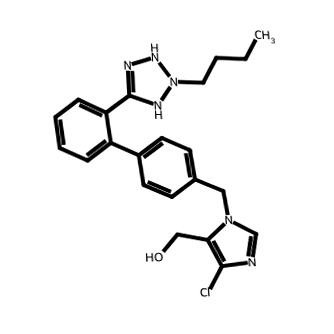 CCCCN1NN=C(c2ccccc2-c2ccc(Cn3cnc(Cl)c3CO)cc2)N1